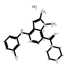 Cc1cc2c(Nc3cccc(Cl)c3)ncc(C(=O)N3CCOCC3)c2n1C.Cl